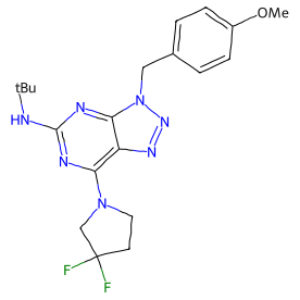 COc1ccc(Cn2nnc3c(N4CCC(F)(F)C4)nc(NC(C)(C)C)nc32)cc1